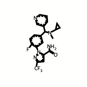 CN(C1CC1)C(c1cccnc1)c1ccc(F)c(-n2nc(C(F)(F)F)cc2C(N)=O)c1